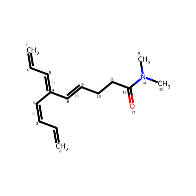 C=C\C=C/C(=C\C=C)/C=C/CCC(=O)N(C)C